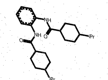 CC(C)C1CCC(C(=O)Nc2ccccc2NC(=O)C2CCC(C(C)C)CC2)CC1